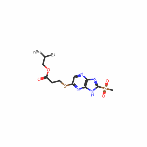 CCCCC(CC)COC(=O)CCSc1cnc2nc(S(C)(=O)=O)[nH]c2n1